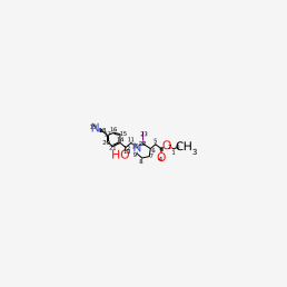 CCOC(=O)CC1CCCN(CC(O)c2ccc(C#N)cc2)C1I